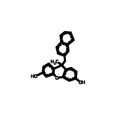 CC1(Cc2ccc3ccccc3c2)c2ccc(O)cc2Oc2cc(O)ccc21